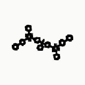 CC(c1ccccc1)(c1ccc(-c2nc(-c3ccccc3)nc(-c3ccc(-c4ccccc4)cc3)n2)cc1)c1ccc(-c2nc(-c3ccccc3)nc(-c3ccc(-c4ccccc4)cc3)n2)cc1